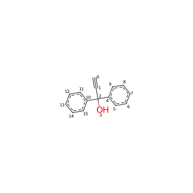 C#CC(O)(c1ccccc1)c1ccccc1